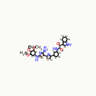 COc1cc(Nc2nc(N)c(-c3nc(-c4cccc(NC(=O)C(=O)c5c[nH]c6ccccc56)c4)cs3)s2)cc(OC)c1OC